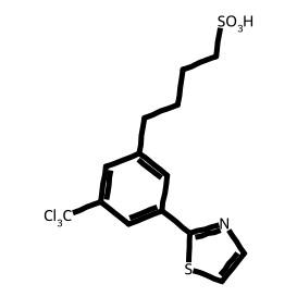 O=S(=O)(O)CCCCc1cc(-c2nccs2)cc(C(Cl)(Cl)Cl)c1